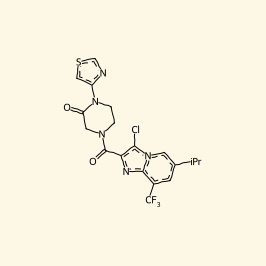 CC(C)c1cc(C(F)(F)F)c2nc(C(=O)N3CCN(c4cscn4)C(=O)C3)c(Cl)n2c1